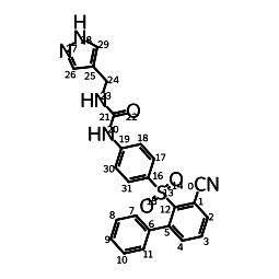 N#Cc1cccc(-c2ccccc2)c1S(=O)(=O)c1ccc(NC(=O)NCc2cn[nH]c2)cc1